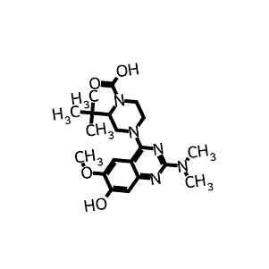 COc1cc2c(N3CCN(C(=O)O)C(C(C)(C)C)C3)nc(N(C)C)nc2cc1O